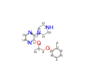 Cc1ccccc1OCC(C)Oc1nccnc1N1CCNCC1